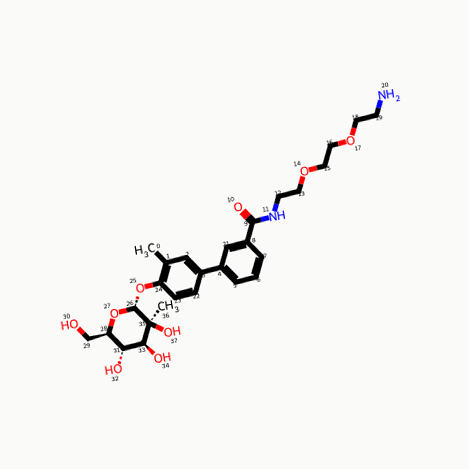 Cc1cc(-c2cccc(C(=O)NCCOCCOCCN)c2)ccc1O[C@H]1O[C@H](CO)[C@@H](O)[C@H](O)[C@]1(C)O